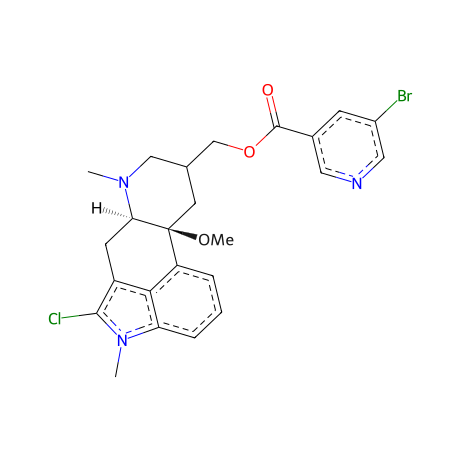 CO[C@]12CC(COC(=O)c3cncc(Br)c3)CN(C)[C@@H]1Cc1c(Cl)n(C)c3cccc2c13